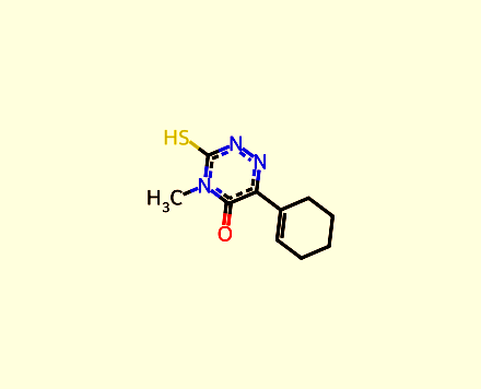 Cn1c(S)nnc(C2=CCCCC2)c1=O